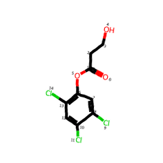 O=C(CCO)Oc1cc(Cl)c(Cl)cc1Cl